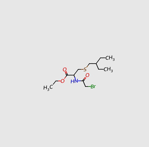 CCOC(=O)C(CSCC(CC)CC)NC(=O)CBr